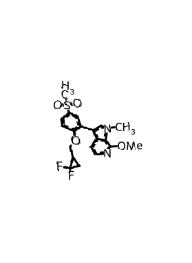 COc1nccc2c(-c3cc(S(C)(=O)=O)ccc3OCC3CC3(F)F)cn(C)c12